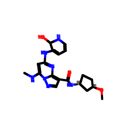 CNc1cc(NC2=CC=CNC2O)nc2c(C(=O)N[C@@H]3CC[C@@H](OC)C3)cnn12